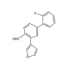 O=Cc1ccc(-c2ccccc2F)cc1-c1ccoc1